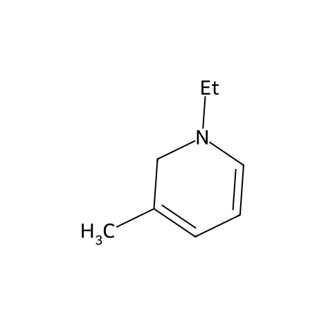 CCN1C=CC=C(C)C1